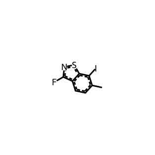 Cc1ccc2c(F)nsc2c1I